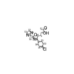 CC(=O)O.CCc1oc(C2(C)N=CC=N2)nc1-c1ccc(Cl)cc1